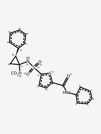 O=C(Nc1ccccc1)c1ccc(S(=O)(=O)NC2(C(=O)O)C[C@H]2c2ccccc2)s1